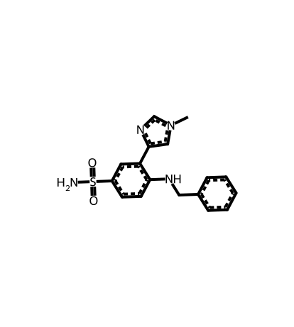 Cn1cnc(-c2cc(S(N)(=O)=O)ccc2NCc2ccccc2)c1